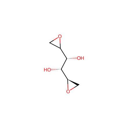 O[C@@H]([C@H]1CO1)[C@@H](O)C1CO1